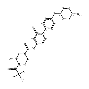 C[C@H]1CN(C(=O)Nc2ccn(-c3ccc(CN4CCC(N)CC4)cc3)c(=O)n2)CCN1C(=O)C(C)(C)N